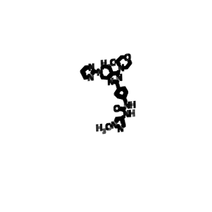 CC1COCCN1c1nc(-c2ccc(NC(=O)Nc3cnn(C)c3)cc2)nc2c1CCN(c1ncccn1)C2